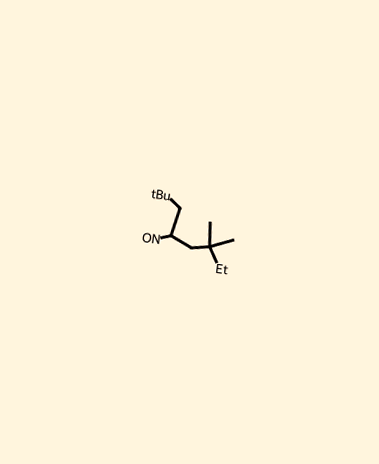 CCC(C)(C)CC(CC(C)(C)C)N=O